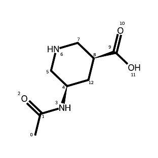 CC(=O)N[C@H]1CNC[C@@H](C(=O)O)C1